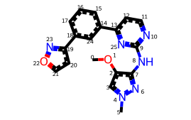 COc1cn(C)nc1Nc1nccc(-c2cccc(-c3ccon3)c2)n1